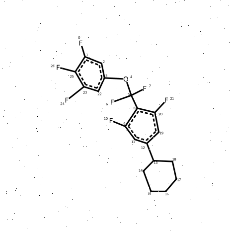 Fc1cc(OC(F)(F)c2c(F)cc(C3CCCCC3)cc2F)cc(F)c1F